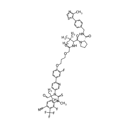 Cc1ncsc1-c1ccc(CNC(=O)[C@@H]2CCCN2C(=O)C(NC(=O)COCCCOc2ccc(-c3ccc(N(C(=S)N(C)c4ccc(C#N)c(C(F)(F)F)c4F)C(C)(C)C=O)cn3)cc2F)C(C)(C)C)cc1